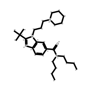 CCCCN(CCCC)C(=O)c1ccc2nc(C(C)(C)C)n(CCCN3CCCCC3)c2c1